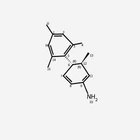 Cc1cc(C)c([C@H]2C=CC(N)=C[C@@H]2C)c(C)c1